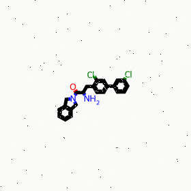 NC(Cc1ccc(-c2cccc(Cl)c2)cc1Cl)C(=O)N1Cc2ccccc2C1